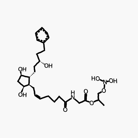 CC(CON(O)O)OC(=O)CNC(=O)CCC/C=C\C[C@@H]1[C@@H](CC[C@@H](O)CCc2ccccc2)[C@H](O)C[C@@H]1O